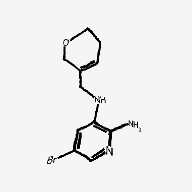 Nc1ncc(Br)cc1NCC1=CCCOC1